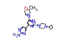 C[C@H]1CN(c2cc(-c3cnc(N)nc3)nc(N3CCN(C4CCC4)CC3)n2)CCO1